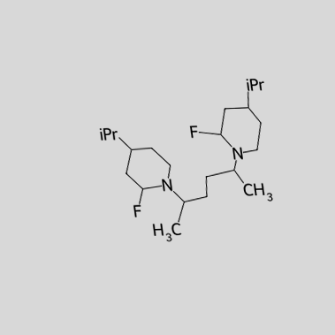 CC(C)C1CCN(C(C)CCC(C)N2CCC(C(C)C)CC2F)C(F)C1